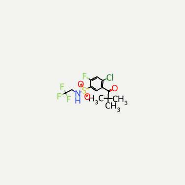 CC(C)(C)C(=O)c1cc(S(=O)(=O)NCC(F)(F)F)c(F)cc1Cl